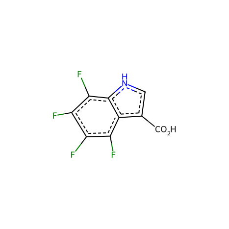 O=C(O)c1c[nH]c2c(F)c(F)c(F)c(F)c12